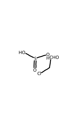 O=CCCl.O=S(O)O